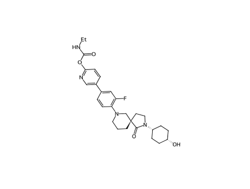 CCNC(=O)Oc1ccc(-c2ccc(N3CCC[C@]4(CCN([C@H]5CC[C@@H](O)CC5)C4=O)C3)c(F)c2)cn1